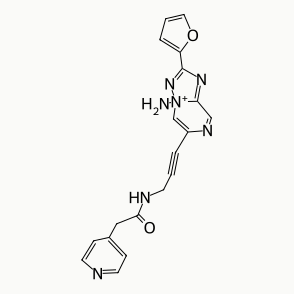 N[N+]12C=C(C#CCNC(=O)Cc3ccncc3)N=CC1=NC(c1ccco1)=N2